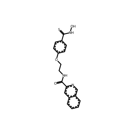 O=C(NCCOc1ccc(C(=S)NO)cc1)c1cc2ccccc2cn1